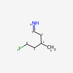 CC(CC=N)CCF